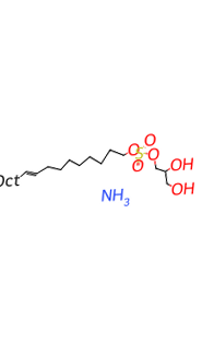 CCCCCCCCC=CCCCCCCCCOS(=O)(=O)OCC(O)CO.N